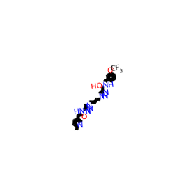 Cc1ccc(CC(=O)Nc2cn(CCCCn3cc(C(O)NCc4cccc(OC(F)(F)F)c4)nn3)nn2)cn1